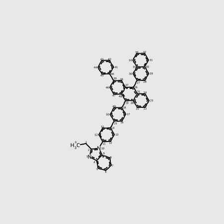 CCc1nc2ccccc2n1-c1ccc(-c2ccc(-c3c4ccccc4c(-c4ccc5ccccc5c4)c4cc(-c5ccccc5)ccc34)cc2)cc1